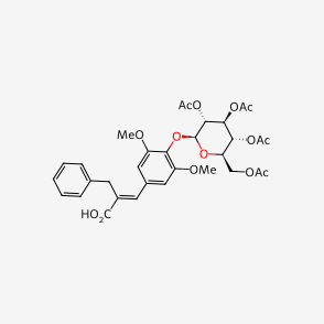 COc1cc(C=C(Cc2ccccc2)C(=O)O)cc(OC)c1O[C@@H]1O[C@H](COC(C)=O)[C@@H](OC(C)=O)[C@H](OC(C)=O)[C@H]1OC(C)=O